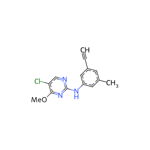 C#Cc1cc(C)cc(Nc2ncc(Cl)c(OC)n2)c1